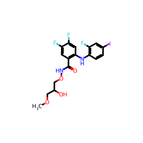 COCC(O)CONC(=O)c1cc(F)c(F)cc1Nc1ccc(I)cc1F